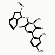 CCO[C@H]1Cc2ccccc2[C@H]1Nc1c(CC)nc(-c2ccc(OC)cc2C)c(=O)n1C